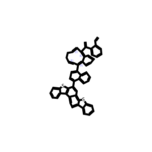 C=Cc1ccccc1C(=C)C1=c2\cccc\c2=C(c2ccc(-c3cc4c(ccc5c6ccccc6sc54)c4c3sc3ccccc34)c3ccccc23)\C=C\CC\C=C\1